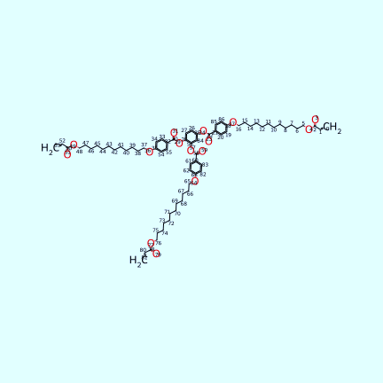 C=CC(=O)OCCCCCCCCCCCCOc1ccc(C(=O)Oc2ccc(OC(=O)c3ccc(OCCCCCCCCCCCCOC(=O)C=C)cc3)c(OC(=O)c3ccc(OCCCCCCCCCCCCOC(=O)C=C)cc3)c2)cc1